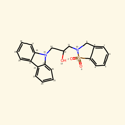 O=S1(=O)c2ccccc2CN1CC(O)Cn1c2ccccc2c2ccccc21